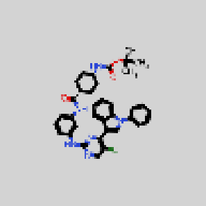 CC(C)(C)OC(=O)N[C@H]1CC[C@H](C(=O)Nc2cccc(Nc3ncc(Cl)c(-c4cn(-c5ccccc5)c5ccccc45)n3)c2)CC1